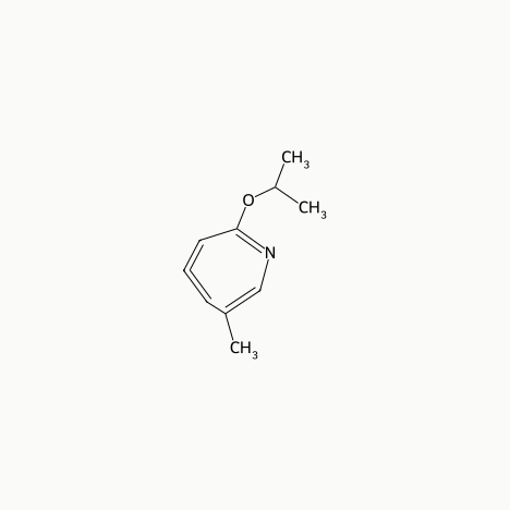 CC1=CN=C(OC(C)C)C=C=C1